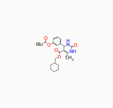 CC1=C(C(=O)OCC2CCCCC2)C(c2cccc(OC(=O)C(C)(C)C)c2)NC(=O)N1